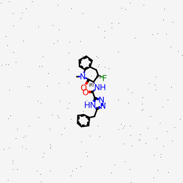 CN1C(=O)[C@@H](NC(=O)c2nnc(Cc3ccccc3)[nH]2)[C@H](F)Cc2ccccc21